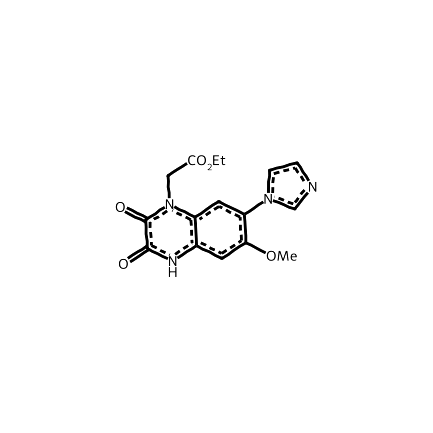 CCOC(=O)Cn1c(=O)c(=O)[nH]c2cc(OC)c(-n3ccnc3)cc21